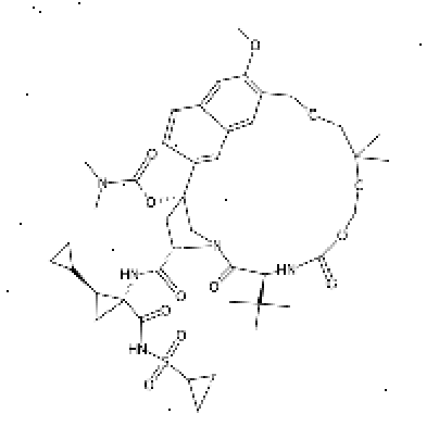 COc1cc2ccc3cc2cc1CCCC(C)(C)CCOC(=O)N[C@@H](C(C)(C)C)C(=O)N1C[C@@]3(OC(=O)N(C)C)C[C@H]1C(=O)N[C@]1(C(=O)NS(=O)(=O)C2CC2)C[C@H]1C1CC1